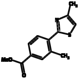 COC(=O)c1ccc(-c2nc(C)cs2)c(C)c1